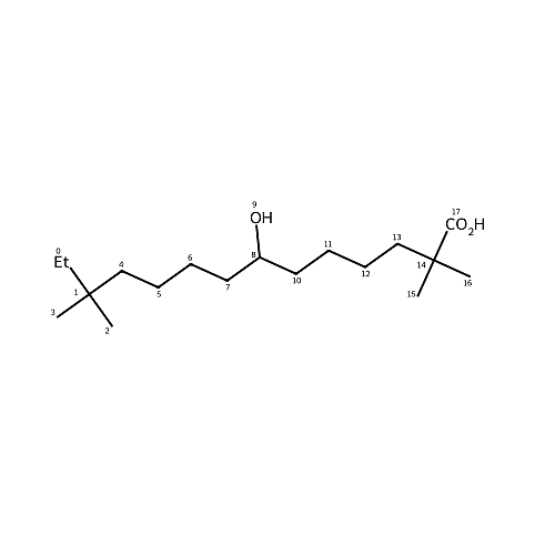 CCC(C)(C)CCCCC(O)CCCCC(C)(C)C(=O)O